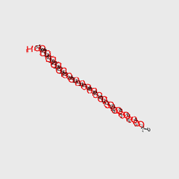 CCOOOOOOOOOOOOOOOOOOOOOOOOOOOOOOOOOO